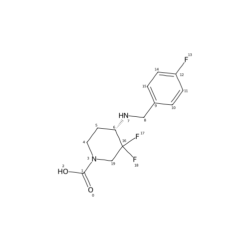 O=C(O)N1CC[C@H](NCc2ccc(F)cc2)C(F)(F)C1